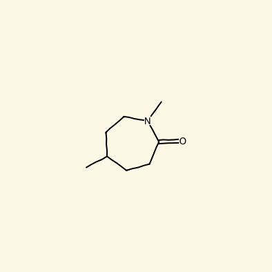 CC1CCC(=O)N(C)CC1